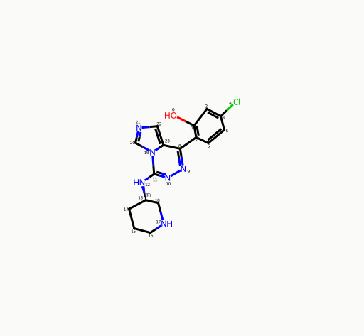 Oc1cc(Cl)ccc1-c1nnc(N[C@@H]2CCCNC2)n2cncc12